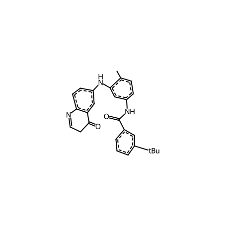 Cc1ccc(NC(=O)c2cccc(C(C)(C)C)c2)cc1Nc1ccc2c(c1)C(=O)CC=N2